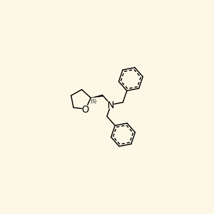 c1ccc(CN(Cc2ccccc2)C[C@@H]2CCCO2)cc1